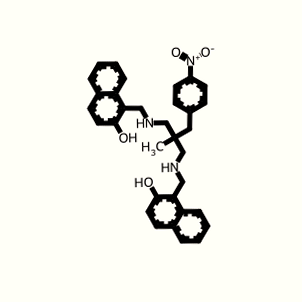 CC(CNCc1c(O)ccc2ccccc12)(CNCc1c(O)ccc2ccccc12)Cc1ccc([N+](=O)[O-])cc1